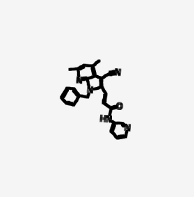 Cc1cc(C)c2c(C#N)c(C=CC(=O)Nc3cccnc3)n(Cc3ccccc3)c2n1